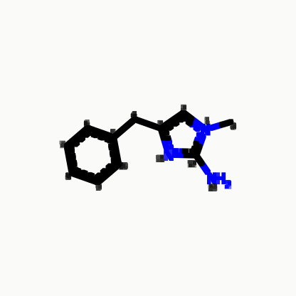 Cn1cc(Cc2ccccc2)nc1N